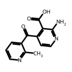 Cc1ncccc1C(=O)c1ccnc(N)c1C(=O)O